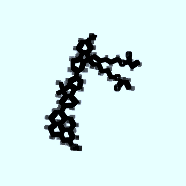 C=CC(=O)OCCCCCC1(CCCCCOC(=O)C=C)c2cc(Br)ccc2-c2ccc(-c3ccc4c(c3)C(C)(C)c3cc(-c5ccc6ccc7cc(C(C)(C)C)cc8ccc5c6c78)ccc3-4)cc21